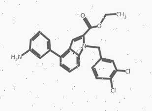 CCOC(=O)c1cc2c(-c3cccc(N)c3)cccc2n1Cc1ccc(Cl)c(Cl)c1